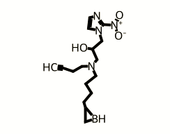 C#CCCN(CCCCC1BC1)CC(O)Cn1ccnc1[N+](=O)[O-]